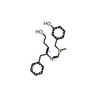 CN(/C=N\C(=C\CCO)Cc1ccccc1)Cc1cccc(O)c1